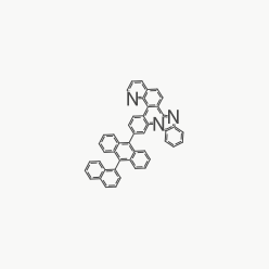 c1ccc2c(-c3c4ccccc4c(-c4ccc5c6c(ccc7cccnc76)c6nc7ccccc7n6c5c4)c4ccccc34)cccc2c1